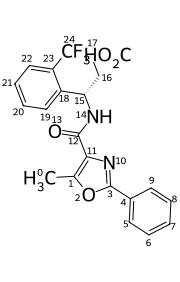 Cc1oc(-c2ccccc2)nc1C(=O)N[C@@H](CC(=O)O)c1ccccc1C(F)(F)F